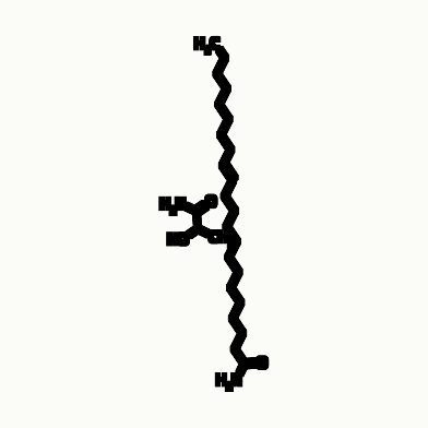 CC(O)C(N)=O.CCCCCCCCC=CCCCCCCCCCCCC(N)=O